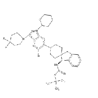 CC(C)(C)OC(=O)N[C@@H]1c2ccccc2CC12CCN(c1nc3c(nc1Br)c(N1CCC(F)(F)CC1)nn3C1CCCCO1)CC2